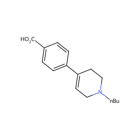 CCCCN1CC=C(c2ccc(C(=O)O)cc2)CC1